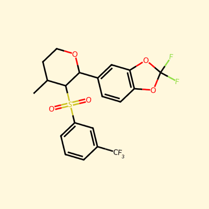 CC1CCOC(c2ccc3c(c2)OC(F)(F)O3)C1S(=O)(=O)c1cccc(C(F)(F)F)c1